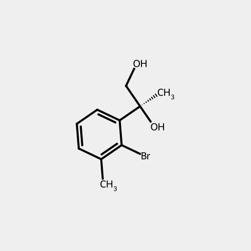 Cc1cccc([C@](C)(O)CO)c1Br